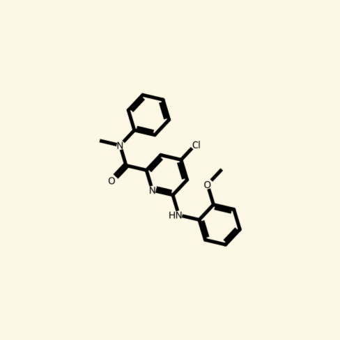 COc1ccccc1Nc1cc(Cl)cc(C(=O)N(C)c2ccccc2)n1